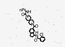 CCCNC(=O)N1CCC2(CC1)CCN(C(=O)c1ccc3c(c1)C(NC(=O)c1ccccc1Cl)CC3)CC2